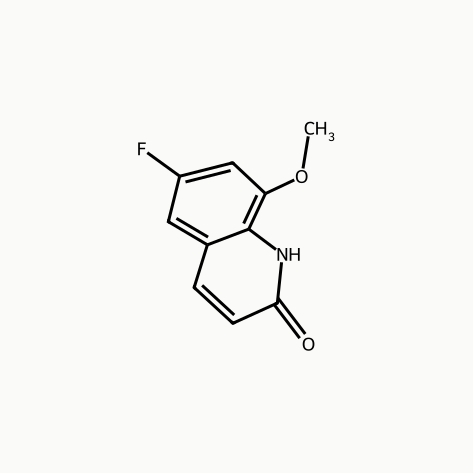 COc1cc(F)cc2ccc(=O)[nH]c12